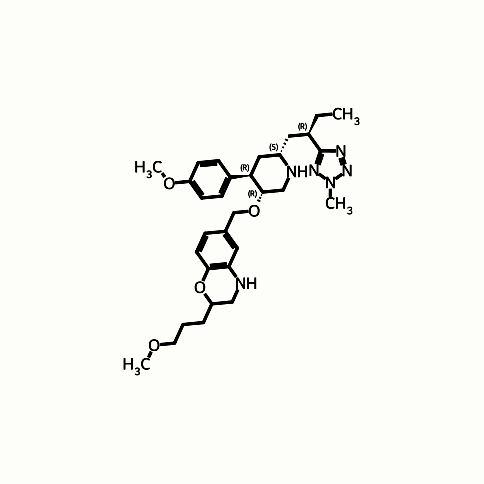 CC[C@H](C[C@H]1C[C@H](c2ccc(OC)cc2)[C@@H](OCc2ccc3c(c2)NCC(CCCOC)O3)CN1)c1nnn(C)n1